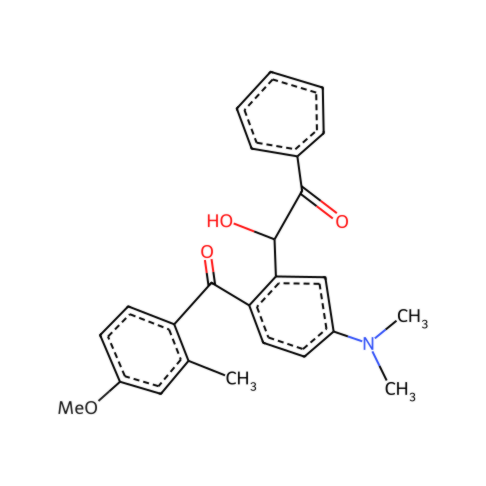 COc1ccc(C(=O)c2ccc(N(C)C)cc2C(O)C(=O)c2ccccc2)c(C)c1